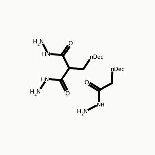 CCCCCCCCCCCC(=O)NN.CCCCCCCCCCCC(C(=O)NN)C(=O)NN